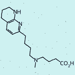 CN(CCCCc1ccc2c(n1)NCCC2)CCCC(=O)O